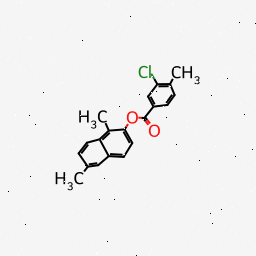 Cc1ccc2c(C)c(OC(=O)c3ccc(C)c(Cl)c3)ccc2c1